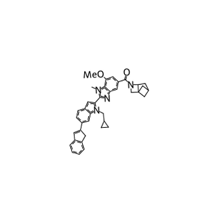 COc1cc(C(=O)N2CC34CC(CC23)C4)cc2nc(-c3cc4ccc(C5=Cc6ccccc6C5)cc4n3CC3CC3)n(C)c12